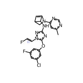 Cc1cc(N2CC3C=C2C3Nc2nc(Oc3cc(F)cc(Cl)c3)n(/C=C/F)n2)ncn1